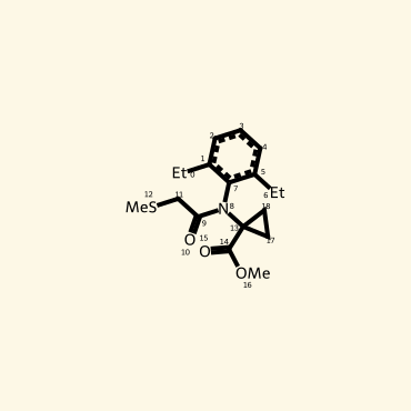 CCc1cccc(CC)c1N(C(=O)CSC)C1(C(=O)OC)CC1